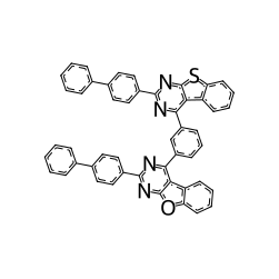 c1ccc(-c2ccc(-c3nc(-c4cccc(-c5nc(-c6ccc(-c7ccccc7)cc6)nc6sc7ccccc7c56)c4)c4c(n3)oc3ccccc34)cc2)cc1